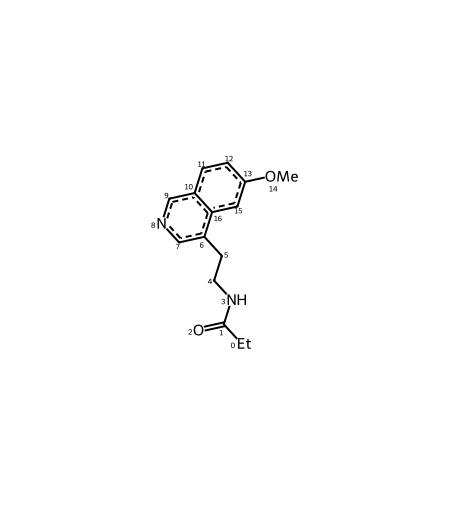 CCC(=O)NCCc1cncc2ccc(OC)cc12